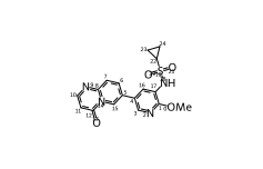 COc1ncc(-c2ccc3nccc(=O)n3c2)cc1NS(=O)(=O)C1CC1